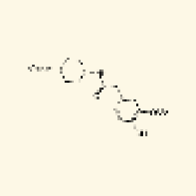 CCCCC[C@H]1CC[C@H](NC(=O)Cc2ccc(O)c(OC)c2)CC1